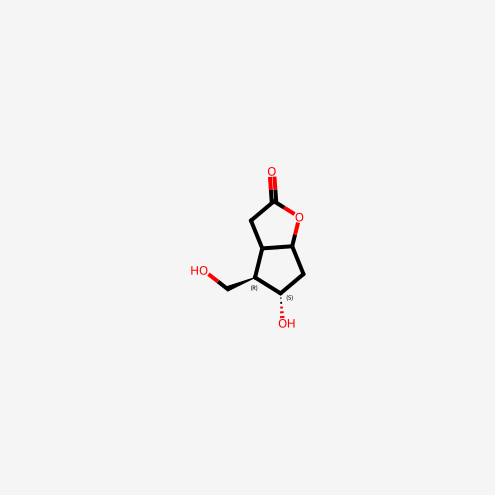 O=C1CC2C(C[C@H](O)[C@H]2CO)O1